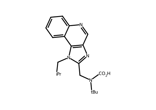 CC(C)Cn1c(CN(C(=O)O)C(C)(C)C)nc2cnc3ccccc3c21